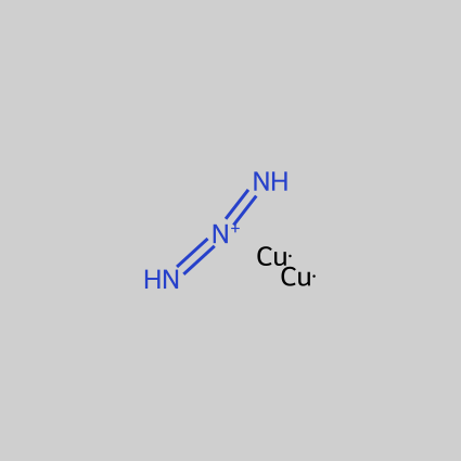 N=[N+]=N.[Cu].[Cu]